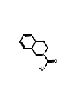 NC(=O)N1CCC2C=CC=CC2C1